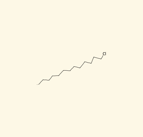 [CH2]CCCCCCCCCCCCCl